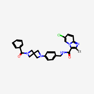 CCc1nc2ccc(Cl)cn2c1C(=O)NCc1ccc(N2CC3(CN(C(=O)c4ccccc4)C3)C2)cc1